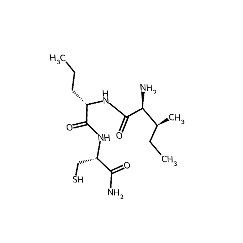 CCC[C@H](NC(=O)[C@@H](N)[C@@H](C)CC)C(=O)N[C@@H](CS)C(N)=O